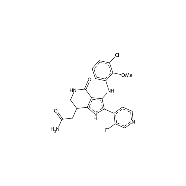 COc1c(Cl)cccc1Nc1c(-c2ccncc2F)[nH]c2c1C(=O)NCC2CC(N)=O